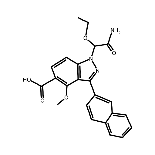 CCOC(C(N)=O)n1nc(-c2ccc3ccccc3c2)c2c(OC)c(C(=O)O)ccc21